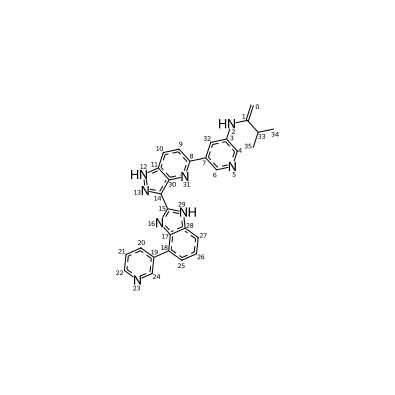 C=C(Nc1cncc(-c2ccc3[nH]nc(-c4nc5c(-c6cccnc6)cccc5[nH]4)c3n2)c1)C(C)C